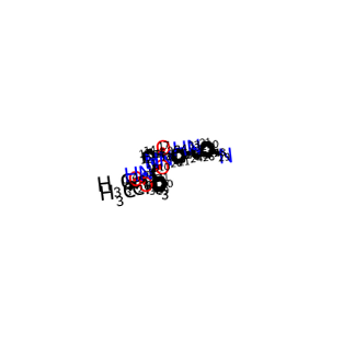 CC(C)(C)OC(=O)N[C@H](C(=O)N1CCC[C@H]1C(=O)Nc1ccc(-c2cc3cc(C#N)ccc3[nH]2)cc1)c1ccccc1